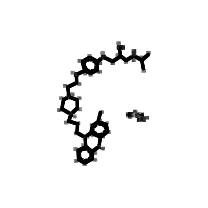 Cc1ccc2c(c1)N(CCCN1CCN(CCOc3ccc(OCC(O)CNC(C)C)cc3)CC1)c1ccccc1S2.Cl.Cl.Cl